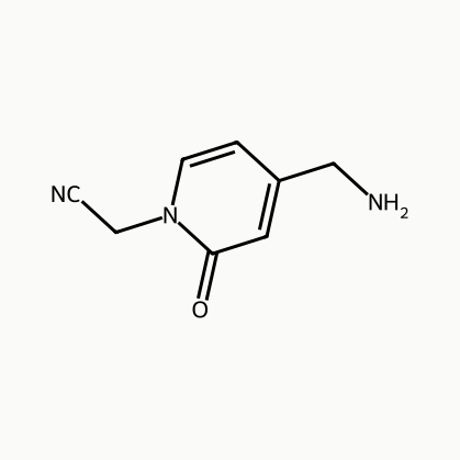 N#CCn1ccc(CN)cc1=O